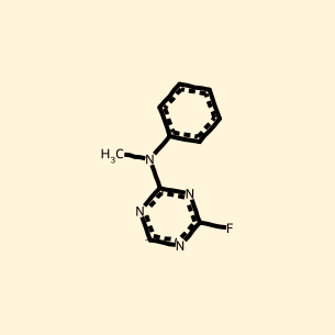 CN(c1ccccc1)c1n[c]nc(F)n1